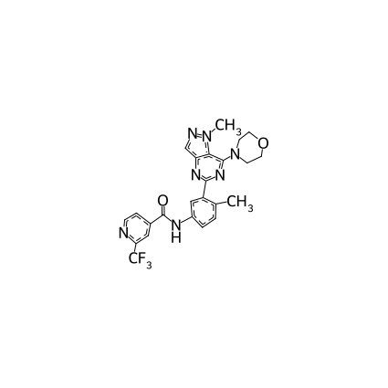 Cc1ccc(NC(=O)c2ccnc(C(F)(F)F)c2)cc1-c1nc(N2CCOCC2)c2c(cnn2C)n1